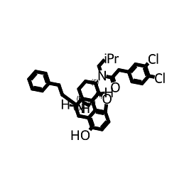 CC(C)CN(C(=O)Cc1ccc(Cl)c(Cl)c1)[C@H]1CC[C@H]2[C@H]3Cc4c(O)ccc5c4[C@@]2(CCN3CCc2ccccc2)[C@H]1O5